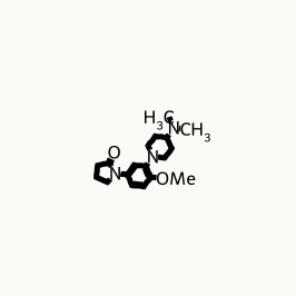 COc1ccc(N2CCCC2=O)cc1N1CCC(N(C)C)CC1